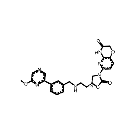 COc1cncc(-c2cccc(CNCC[C@H]3CN(c4ccc5c(n4)NC(=O)CO5)C(=O)O3)c2)n1